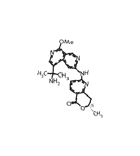 COc1ncc(C(C)(C)N)c2cc(Nc3ccc4c(n3)C[C@H](C)OC4=O)ncc12